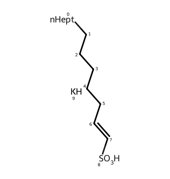 CCCCCCCCCCCCC=CS(=O)(=O)O.[KH]